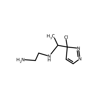 CC(NCCN)C1(Cl)C=CN=N1